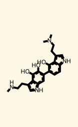 CNCCc1c[nH]c2cc(-c3ccc4[nH]cc(CCN(C)C)c4c3O)c(O)c(O)c12